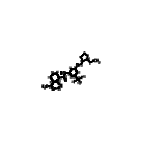 CCN1CCCC1COc1cc(NC(=O)c2cccc3c(C)ncnc23)cc(C(F)(F)F)c1